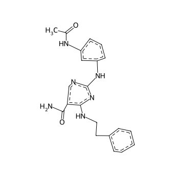 CC(=O)Nc1cccc(Nc2ncc(C(N)=O)c(NCCc3ccccc3)n2)c1